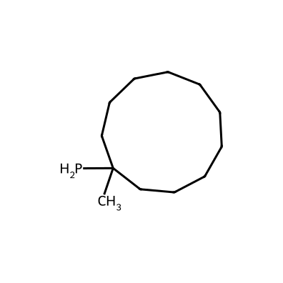 CC1(P)CCCCCCCCCC1